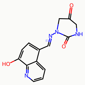 O=C1CNC(=O)N(/N=C/c2ccc(O)c3ncccc23)C1